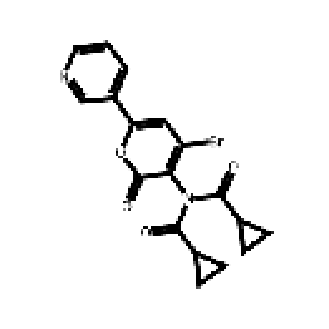 O=C(C1CC1)N(C(=O)C1CC1)c1c(Br)cc(-c2cccnc2)oc1=O